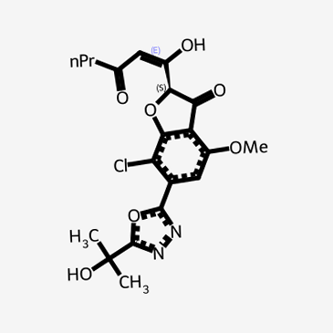 CCCC(=O)/C=C(/O)[C@@H]1Oc2c(Cl)c(-c3nnc(C(C)(C)O)o3)cc(OC)c2C1=O